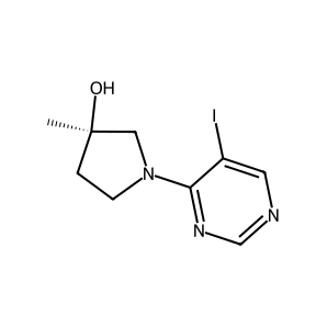 C[C@@]1(O)CCN(c2ncncc2I)C1